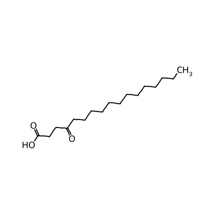 CCCCCCCCCCCCCC(=O)CCC(=O)O